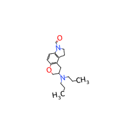 CCCN(CCC)C1COc2ccc3c(c2C1)CCN3C=O